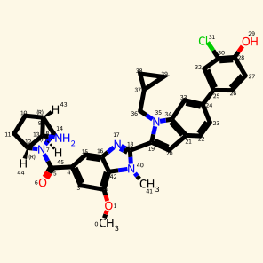 COc1cc(C(=O)N2C[C@H]3CC[C@@H]2[C@@H]3N)cc2nc(-c3cc4ccc(-c5ccc(O)c(Cl)c5)cc4n3CC3CC3)n(C)c12